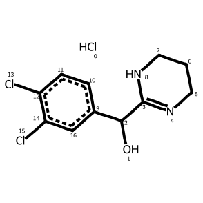 Cl.OC(C1=NCCCN1)c1ccc(Cl)c(Cl)c1